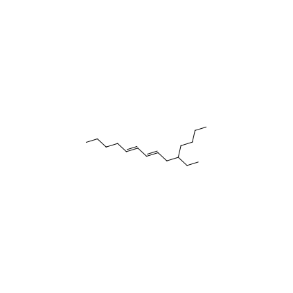 CCCCC=CC=CCC(CC)CCCC